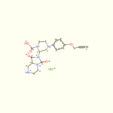 C#CCOc1ccc(N2CCN(C(=O)O)C(N3C(=O)C4CNCCN4C3=O)C2)cc1.Cl